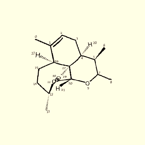 CC1=CC[C@H]2[C@@H](C)C(C)O[C@@H]3O[C@]4(C)CC[C@@H]1[C@]32OO4